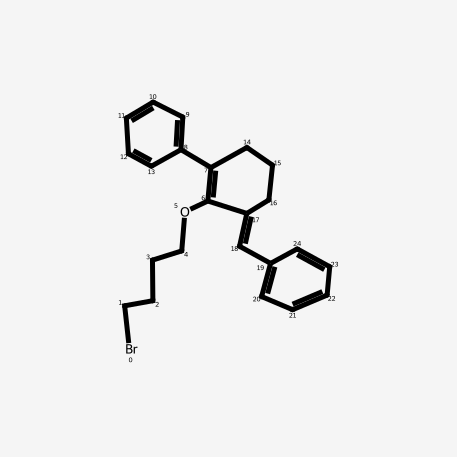 BrCCCCOC1=C(c2ccccc2)CCC/C1=C\c1ccccc1